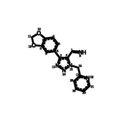 N=Cc1c(-c2ccc3c(c2)OCO3)nnn1Cc1ccccn1